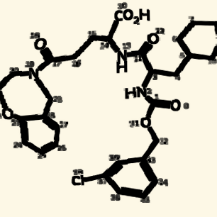 O=C(NC(CC1CCCCC1)C(=O)NC(CCC(=O)N1CCOc2ccccc2C1)C(=O)O)OCc1cccc(Cl)c1